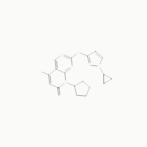 Cc1cc(=O)n(C2CCCC2)c2nc(Nc3ccn(C4CC4)n3)ncc12